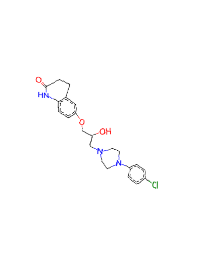 O=C1CCc2cc(OCC(O)CN3CCN(c4ccc(Cl)cc4)CC3)ccc2N1